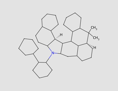 CC1(C)C2CCCCC2C2C3C(CC4CCC[C@H]1C42)N(C1CCCCC1C1CCCCC1)C1CCC2CCCCC2[C@@H]31